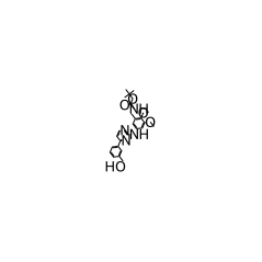 COc1cc(Nc2nccc(-c3cccc(CO)c3)n2)cc(CNC(=O)OC(C)(C)C)c1OC